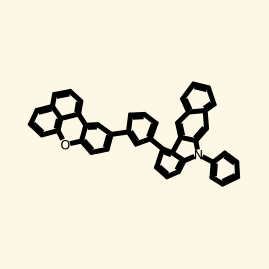 c1ccc(-n2c3cc4ccccc4cc3c3c(-c4cccc(-c5ccc6c(c5)-c5cccc7cccc(c57)O6)c4)cccc32)cc1